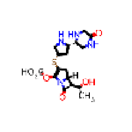 C[C@@H](O)[C@H]1C(=O)N2C(OC(=O)O)=C(S[C@@H]3CN[C@H](C4CNC(=O)CN4)C3)C[C@H]12